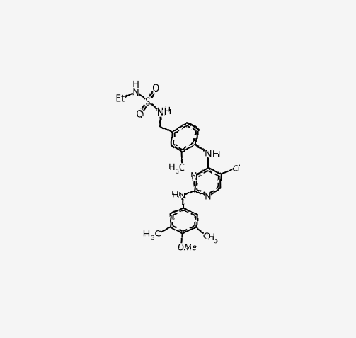 CCNS(=O)(=O)NCc1ccc(Nc2nc(Nc3cc(C)c(OC)c(C)c3)ncc2Cl)c(C)c1